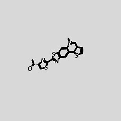 CC(=O)[C@H]1CSC(c2nc3cc4c(cc3s2)N(C)CC2C=CSC42)=N1